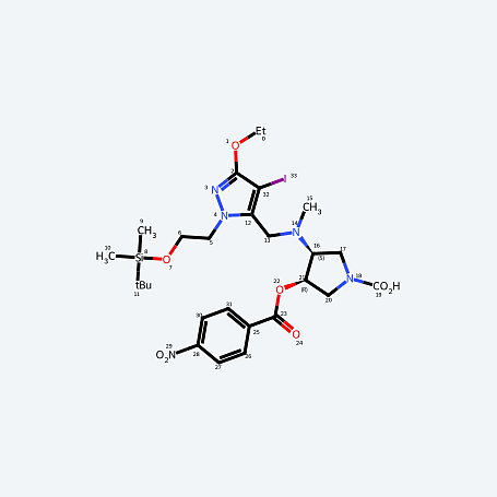 CCOc1nn(CCO[Si](C)(C)C(C)(C)C)c(CN(C)[C@H]2CN(C(=O)O)C[C@H]2OC(=O)c2ccc([N+](=O)[O-])cc2)c1I